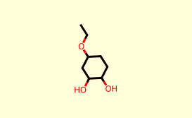 CCOC1CCC(O)C(O)C1